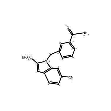 CCOC(=O)c1cc2ccc(C#N)cc2n1Cc1cccc(C(N)=O)c1